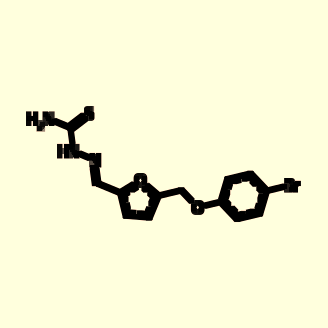 NC(=S)NN=Cc1ccc(COc2ccc(Br)cc2)o1